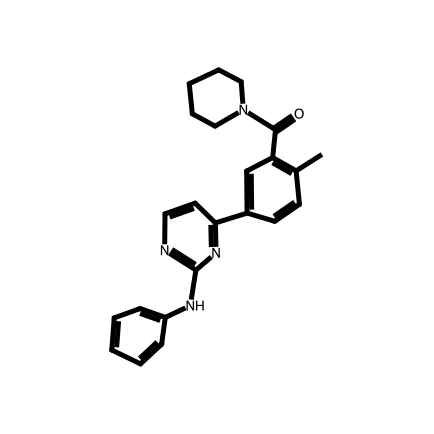 Cc1ccc(-c2ccnc(Nc3ccccc3)n2)cc1C(=O)N1CCCCC1